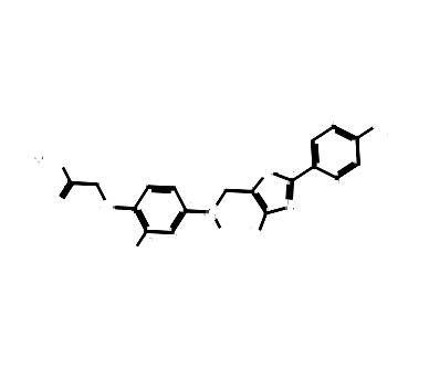 COC(=O)COc1ccc(N(C)Cc2sc(-c3ccc(C(F)(F)F)cc3)nc2C)cc1F